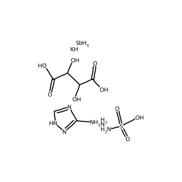 N.NS(=O)(=O)O.Nc1nc[nH]n1.O=C(O)C(O)C(O)C(=O)O.[KH].[SbH3]